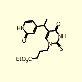 CCOC(=O)CCCn1cc(C(C)c2cc[nH]c(=O)c2)c(=O)[nH]c1=S